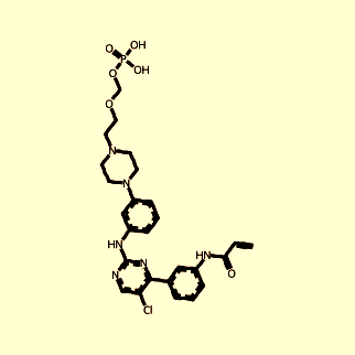 C=CC(=O)Nc1cccc(-c2nc(Nc3cccc(N4CCN(CCOCOP(=O)(O)O)CC4)c3)ncc2Cl)c1